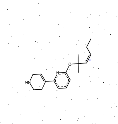 CC/C=C\C(C)(C)Oc1cccc(C2=CCNCC2)n1